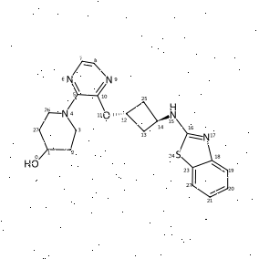 OC1CCN(c2nccnc2O[C@H]2C[C@H](Nc3nc4ccccc4s3)C2)CC1